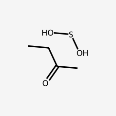 CCC(C)=O.OSO